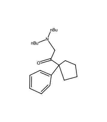 CCCCN(CCCC)CC(=O)C1(c2ccccc2)CCCC1